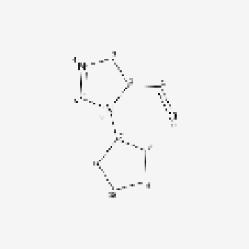 O=CC1CN=CN1C1CCCC1